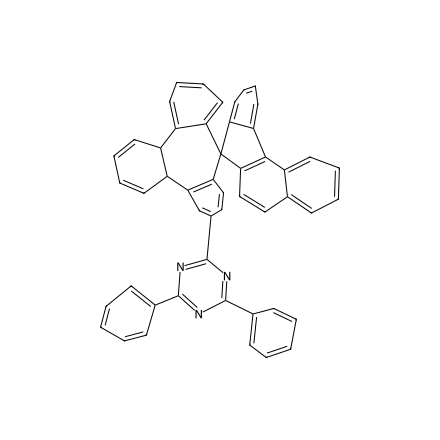 C1=CC2c3ccccc3C3(c4ccccc4-c4c3ccc3ccccc43)c3ccc(-c4nc(-c5ccccc5)nc(-c5ccccc5)n4)cc3C2C=C1